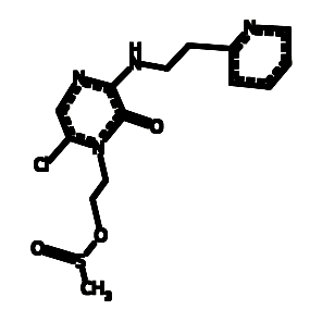 CS(=O)OCCn1c(Cl)cnc(NCCc2ccccn2)c1=O